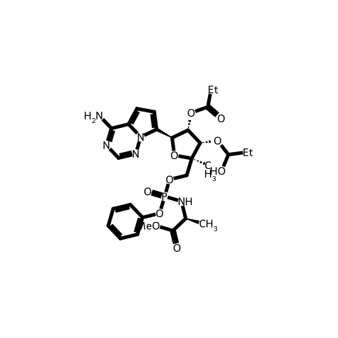 CCC(=O)O[C@H]1[C@H](c2ccc3c(N)ncnn23)O[C@](C)(COP(=O)(N[C@@H](C)C(=O)OC)Oc2ccccc2)[C@H]1OC(O)CC